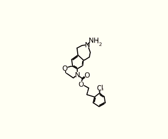 NN1CCc2cc3c(cc2CC1)N(C(=O)OCCc1ccccc1Cl)CCO3